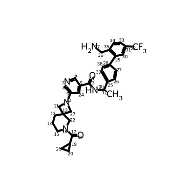 C[C@@H](NC(=O)c1cncc(N2CC3(CCCN(C(=O)C4CC4)C3)C2)c1)c1ccc(-c2cc(C(F)(F)F)ccc2CN)cc1